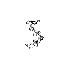 CCOC(=O)Cc1csc(SCC(=O)NC[C@H]2CN(Cc3ccc(Cl)cc3Cl)CCO2)n1